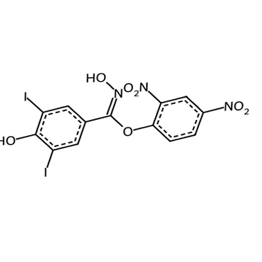 O=[N+]([O-])c1ccc(OC(=NO)c2cc(I)c(O)c(I)c2)c([N+](=O)[O-])c1